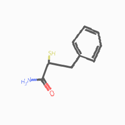 NC(=O)C(S)Cc1ccccc1